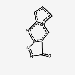 O=C1N=Nc2nc3cccn3cc21